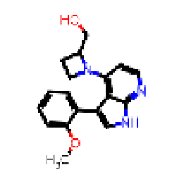 COc1ccccc1-c1c[nH]c2nccc(N3CCC3CO)c12